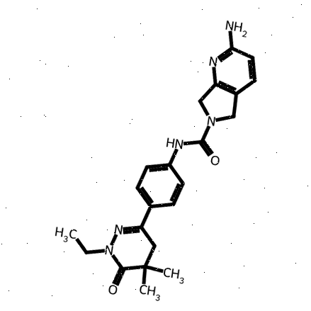 CCN1N=C(c2ccc(NC(=O)N3Cc4ccc(N)nc4C3)cc2)CC(C)(C)C1=O